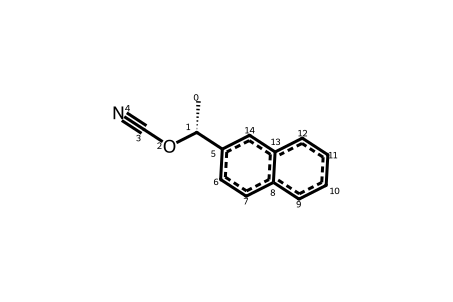 C[C@@H](OC#N)c1ccc2ccccc2c1